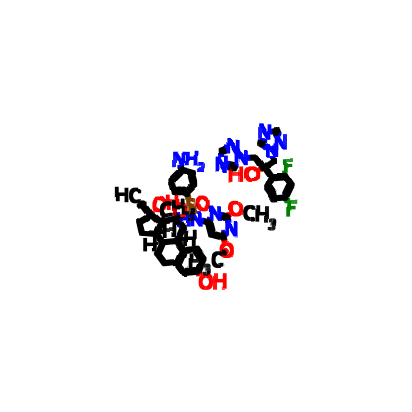 C#C[C@]1(O)CC[C@H]2[C@@H]3CCc4cc(O)ccc4[C@H]3CC[C@@]21C.COc1cc(NS(=O)(=O)c2ccc(N)cc2)nc(OC)n1.OC(Cn1cncn1)(Cn1cncn1)c1ccc(F)cc1F